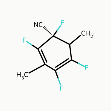 [CH2]C1C(F)=C(F)C(C)=C(F)[C@]1(F)C#N